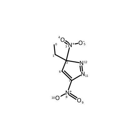 CCC1([N+](=O)[O-])C=C([N+](=O)[O-])N=N1